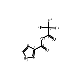 O=C(OC(=O)C(F)(F)F)c1cc[nH]c1